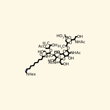 CCCCCC/C=C\CCCCCCCC(=O)N[C@@H](CO)C(OC(COC(C)=O)[C@H](C)O)O[C@@H](C)C(CO)OC(OC1C(CO)OC(O[C@@H](C)C(COS(=O)(=O)O)OC(O)[C@H](CO)NC(C)=O)C(NC(C)=O)C1O)[C@H](CO)NC(C)=O